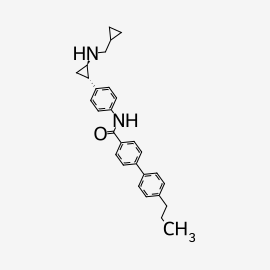 CCCc1ccc(-c2ccc(C(=O)Nc3ccc([C@@H]4C[C@H]4NCC4CC4)cc3)cc2)cc1